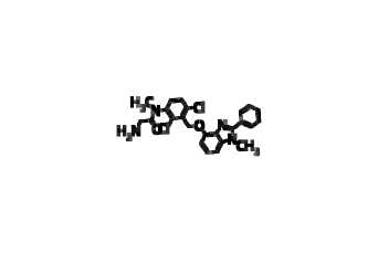 CN(C(=O)CN)c1ccc(Cl)c(COc2cccc3c2nc(-c2ccccc2)n3C)c1Cl